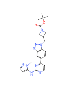 Cn1nccc1Nc1nccc(-c2ccc3c(c2)nnn3CC2CN(C(=O)OC(C)(C)C)C2)n1